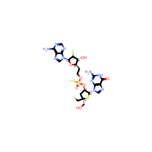 Nc1nc2c(ncn2[C@@H]2S[C@@](CO)(CF)C[C@H]2OP(=O)(S)OCC[C@H]2O[C@@H](n3cnc4c(N)ncnc43)[C@@H](F)[C@@H]2O)c(=O)[nH]1